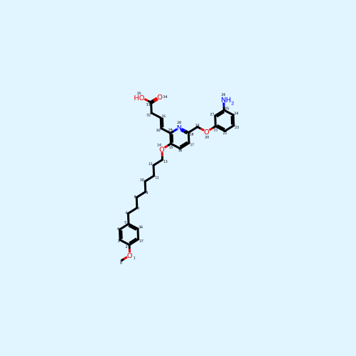 COc1ccc(CCCCCCCCOc2ccc(COc3cccc(N)c3)nc2/C=C/CC(=O)O)cc1